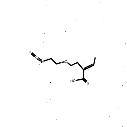 C/C=C(\CCOCCN=C=O)C(=O)O